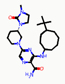 CN1CCN([C@H]2CCCN(c3cnc(C(N)=O)c(NC4CCCCC(C(C)(C)C)CC4)n3)C2)C1=O